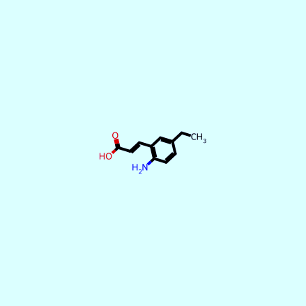 CCc1ccc(N)c(/C=C/C(=O)O)c1